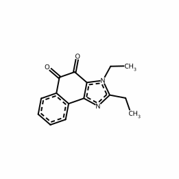 CCc1nc2c(n1CC)C(=O)C(=O)c1ccccc1-2